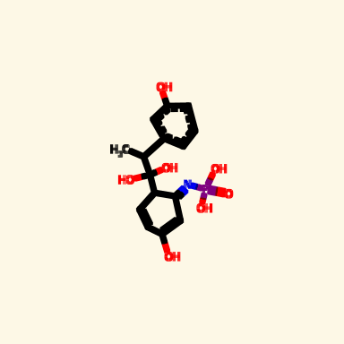 CC(c1cccc(O)c1)C(O)(O)C1C=CC(O)=CC1=NP(=O)(O)O